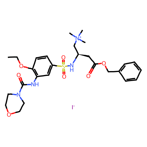 CCOc1ccc(S(=O)(=O)N[C@H](CC(=O)OCc2ccccc2)C[N+](C)(C)C)cc1NC(=O)N1CCOCC1.[I-]